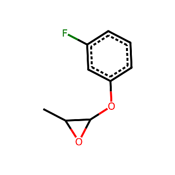 CC1OC1Oc1cccc(F)c1